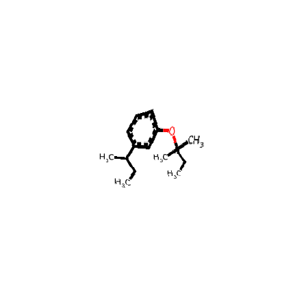 CCC(C)c1cccc(OC(C)(C)CC)c1